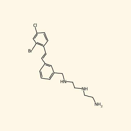 NCCNCCNCc1cccc(C=Cc2ccc(Cl)cc2Br)c1